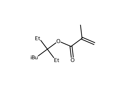 C=C(C)C(=O)OC(CC)(CC)C(C)CC